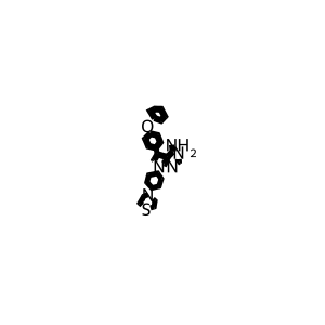 Nc1ncnc2c1c(-c1ccc(Oc3ccccc3)cc1)cn2[C@H]1CC[C@@H](N2CCSCC2)CC1